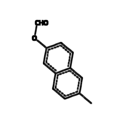 Cc1ccc2cc(OC=O)ccc2c1